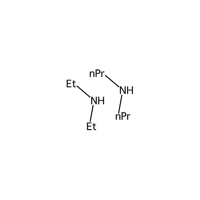 CCCNCCC.CCNCC